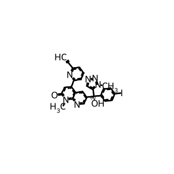 C#Cc1cccc(-c2cc(=O)n(C)c3ncc([C@](O)(c4ccc(I)cc4)c4cnnn4C)cc23)n1